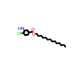 CCCCCCCCCCCCCCOC(=O)c1ccc(Cl)c([NH])c1